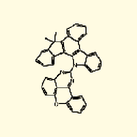 CC1(C)c2ccccc2-c2c1c1ccccc1c1c3ccccc3n(-c3nc4c5c(cccc5n3)Oc3ccccc3-4)c21